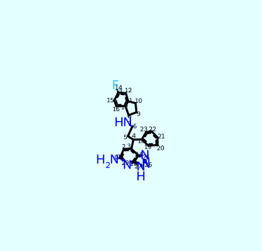 Nc1cc(C(CCN[C@@H]2CCc3cc(F)ccc32)c2ccccc2)c2nn[nH]c2n1